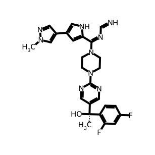 Cn1cc(-c2c[nH]c(/C(=N\C=N)N3CCN(c4ncc([C@](C)(O)c5ccc(F)cc5F)cn4)CC3)c2)cn1